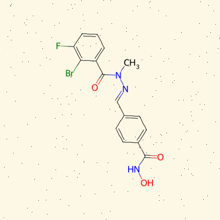 CN(N=Cc1ccc(C(=O)NO)cc1)C(=O)c1cccc(F)c1Br